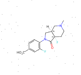 CN1CC[C@@]2(F)C(=O)N(c3ccc(C(=O)O)cc3F)C[C@H]2C1